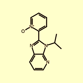 CC(C)n1c(-c2cccc[n+]2[O-])nc2cccnc21